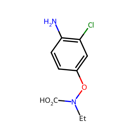 CCN(Oc1ccc(N)c(Cl)c1)C(=O)O